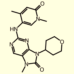 Cc1cc(=O)n(C)cc1Nc1ncc2c(n1)n(C1CCOCC1)c(=O)n2C